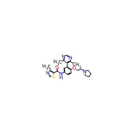 Cc1ncsc1C(=O)Nc1ccc(OCCN2CCCC2)c(-c2c(C)ncnc2C)c1